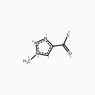 Cn1cc(C(=O)[S])nn1